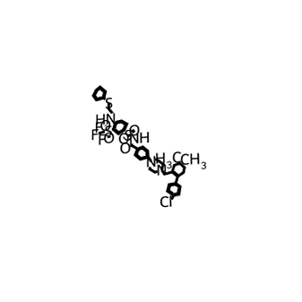 CC1(C)CCC(c2ccc(Cl)cc2)=C(CN2CCN(c3ccc(C(=O)NS(=O)(=O)c4ccc(NCCSc5ccccc5)c(S(=O)(=O)C(F)(F)F)c4)cc3)CC2)C1